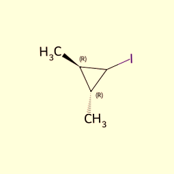 C[C@H]1C(I)[C@@H]1C